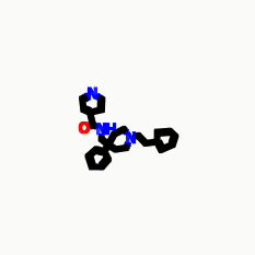 O=C(NCC1(c2ccccc2)CCN(CCc2ccccc2)CC1)c1ccncc1